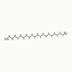 [Li][CH2]CCCCCCCCCCCCCCCCCC[CH2][Li]